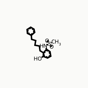 CS(=O)(=O)Nc1cccc(O)c1CCCCCc1ccccc1